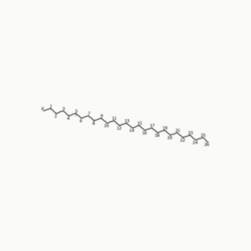 CCCCC[CH]CCCCCCCCCCCCCCCCCCCCC